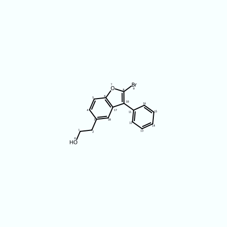 OCCc1ccc2oc(Br)c(-c3ccccc3)c2c1